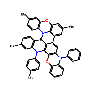 CC(C)(C)c1ccc(N2c3cc(C(C)(C)C)ccc3B3c4c(cc5c(c42)Oc2ccccc2N5c2ccccc2)-c2cc(C(C)(C)C)cc4c2N3c2ccc(C(C)(C)C)cc2O4)cc1